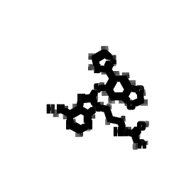 CC(C)C(=O)NCCCn1c(Sc2cc3c(cc2-c2nccs2)OCO3)nc2c(N)ncnc21